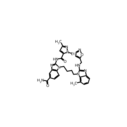 CCn1nc(C)cc1C(=O)Nc1nc2cc(C(N)=O)ccc2n1CCCCn1c(NCc2ccno2)nc2cccc(C)c21